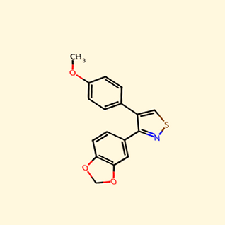 COc1ccc(-c2csnc2-c2ccc3c(c2)OCO3)cc1